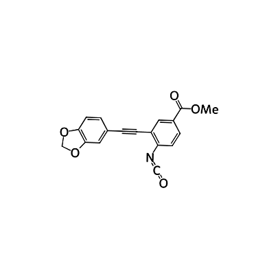 COC(=O)c1ccc(N=C=O)c(C#Cc2ccc3c(c2)OCO3)c1